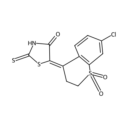 O=C1NC(=S)SC1=C1CCS(=O)(=O)c2cc(Cl)ccc21